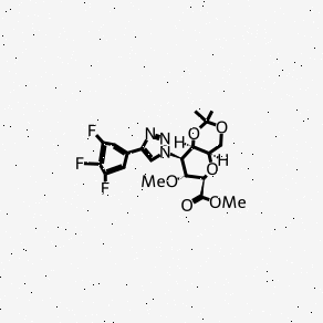 COC(=O)[C@@H]1O[C@@H]2COC(C)(C)O[C@@H]2[C@H](n2cc(-c3cc(F)c(F)c(F)c3)nn2)[C@H]1OC